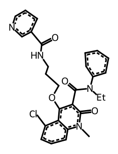 CCN(C(=O)c1c(OCCCNC(=O)c2cccnc2)c2c(Cl)cccc2n(C)c1=O)c1ccccc1